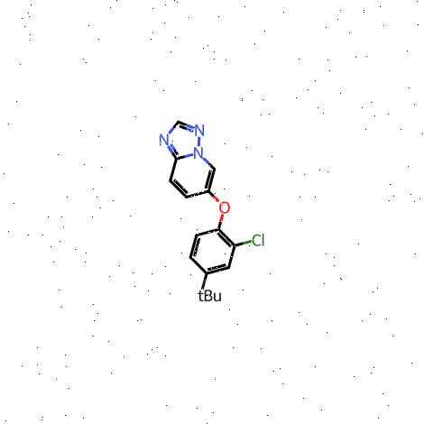 CC(C)(C)c1ccc(Oc2ccc3ncnn3c2)c(Cl)c1